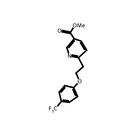 COC(=O)c1ccc(CCOc2ccc(C(F)(F)F)cc2)nc1